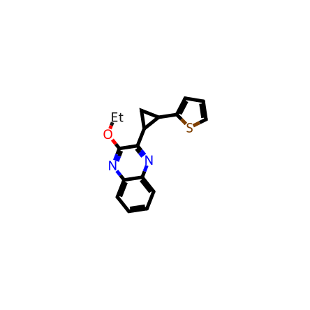 CCOc1nc2ccccc2nc1C1CC1c1cccs1